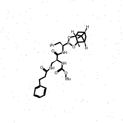 CC(C)C[C@H](NC(=O)[C@H](CNC(=O)CCc1ccccc1)NC(=O)OC(C)(C)C)B1O[C@@H]2C[C@@H]3C[C@@H](C3(C)C)[C@]2(C)O1